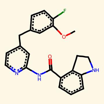 COc1cc(Cc2ccnc(NC(=O)c3cccc4c3CCN4)c2)ccc1F